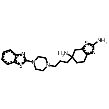 Nc1nc2c(s1)CC(N)(CCCN1CCN(c3nc4ccccc4s3)CC1)CC2